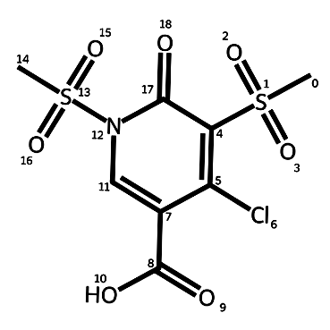 CS(=O)(=O)c1c(Cl)c(C(=O)O)cn(S(C)(=O)=O)c1=O